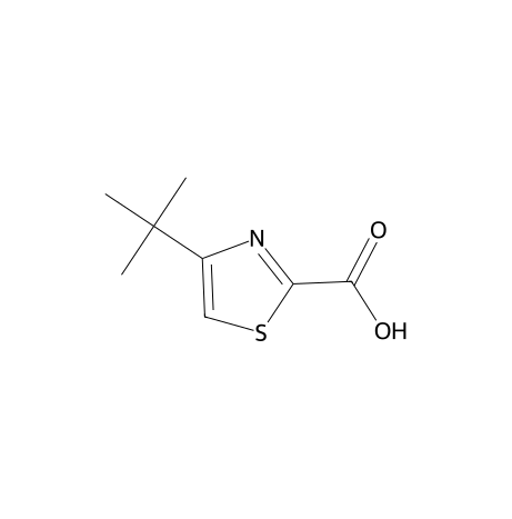 CC(C)(C)c1csc(C(=O)O)n1